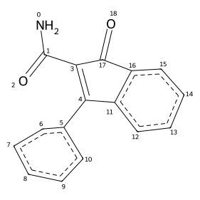 NC(=O)C1=C(c2ccccc2)c2ccccc2C1=O